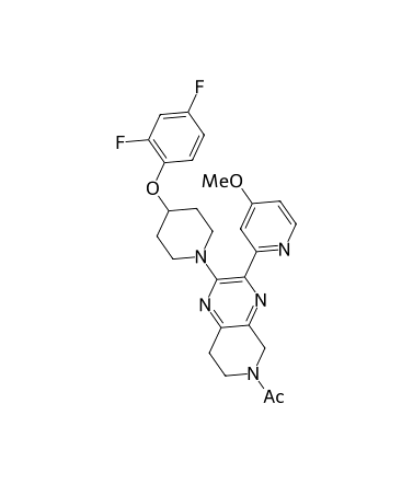 COc1ccnc(-c2nc3c(nc2N2CCC(Oc4ccc(F)cc4F)CC2)CCN(C(C)=O)C3)c1